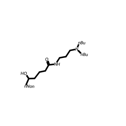 CCCCCCCCCC(O)CCCC(=O)NCCCN(CCCC)CCCC